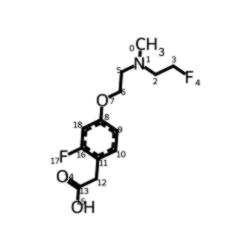 CN(CCF)CCOc1ccc(CC(=O)O)c(F)c1